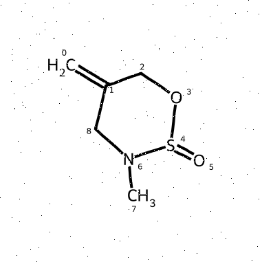 C=C1COS(=O)N(C)C1